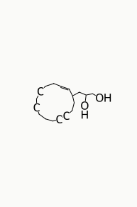 OCC(O)CC1C=CCCCCCCCCCCCC1